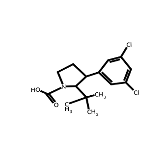 CC(C)(C)C1C(c2cc(Cl)cc(Cl)c2)CCN1C(=O)O